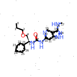 CCCOC[C@@H](NC(=O)Nc1cc2[nH]nc(NC)c2cn1)c1ccccc1